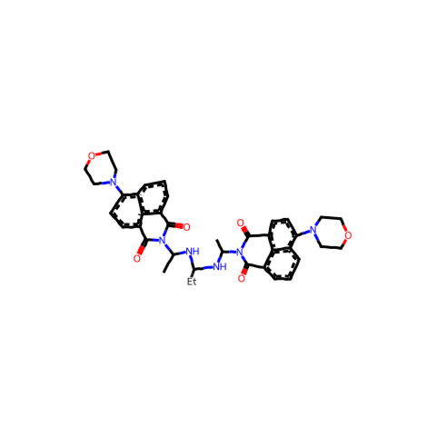 CCC(NC(C)N1C(=O)c2cccc3c(N4CCOCC4)ccc(c23)C1=O)NC(C)N1C(=O)c2cccc3c(N4CCOCC4)ccc(c23)C1=O